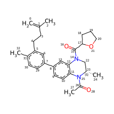 C=C(C)CCc1cc(-c2ccc3c(c2)N(C(=O)C2CCCO2)C[C@H](C)N3C(C)=O)ccc1C